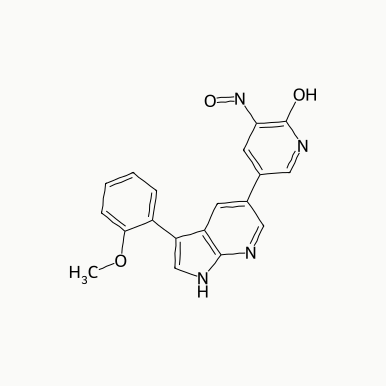 COc1ccccc1-c1c[nH]c2ncc(-c3cnc(O)c(N=O)c3)cc12